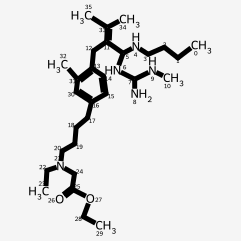 CCCCNC(NC(N)NC)C(Cc1ccc(CCCCN(CC)CC(=O)OCC)cc1C)=C(C)C